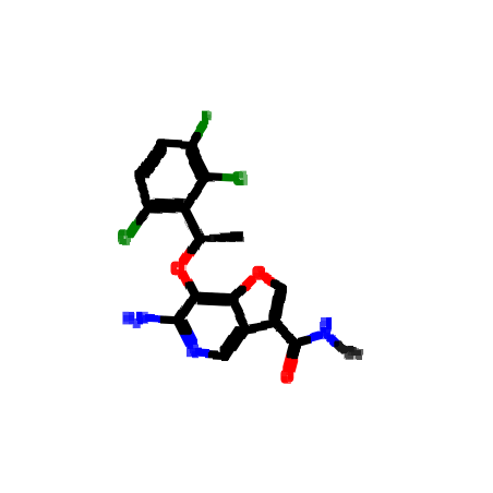 CC(C)NC(=O)c1coc2c(O[C@H](C)c3c(Cl)ccc(F)c3Cl)c(N)ncc12